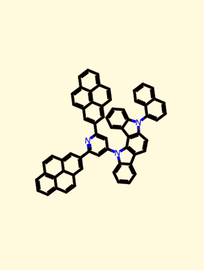 C1=Cc2cccc3c2C2C1=CC(c1cc(-n4c5ccccc5c5ccc6c(c7ccccc7n6-c6cccc7ccccc67)c54)cc(-c4cc5ccc6cccc7ccc(c4)c5c67)n1)=CC2C=C3